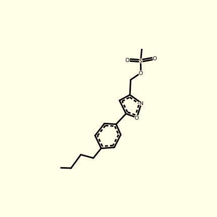 CCCCc1ccc(-c2cc(COS(C)(=O)=O)no2)cc1